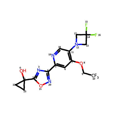 OC1(c2nc(-c3cc(OCC(F)(F)F)c(N4CC(F)(F)C4)cn3)no2)CC1